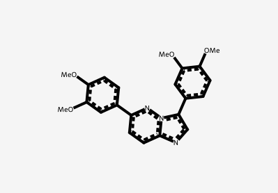 COc1ccc(-c2ccc3ncc(-c4ccc(OC)c(OC)c4)n3n2)cc1OC